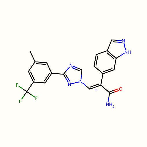 Cc1cc(-c2ncn(/C=C(/C(N)=O)c3ccc4cn[nH]c4c3)n2)cc(C(F)(F)F)c1